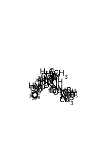 CN(C[C@@H](NC(=O)N[C@H](C(=O)N1C[C@H]2[C@@H]([C@H]1C(=O)NC1(C(=O)NS(=O)(=O)c3ccccc3)CC1)C2(C)C)C(C)(C)C)C(C)(C)C)S(=O)(=O)c1cccs1